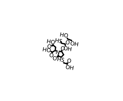 O=C(O)CC(C(=O)O)N1C(=O)CCC1=O.O=C(O)CS.O=C(O)CS.OCCO